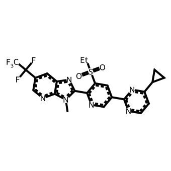 CCS(=O)(=O)c1cc(-c2nccc(C3CC3)n2)cnc1-c1nc2cc(C(F)(F)C(F)(F)F)cnc2n1C